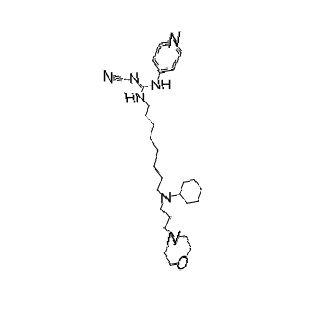 N#C/N=C(\NCCCCCCCCN(CCCN1CCOCC1)C1CCCCC1)Nc1ccncc1